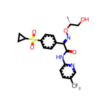 C[C@H](CO)O/N=C(/C(=O)Nc1ccc(C(F)(F)F)cn1)c1ccc(S(=O)(=O)C2CC2)cc1